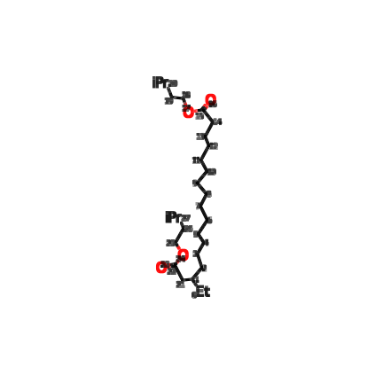 CCC(CCCCCCCCCCCCCC(=O)OCCC(C)C)CC(=O)OCCC(C)C